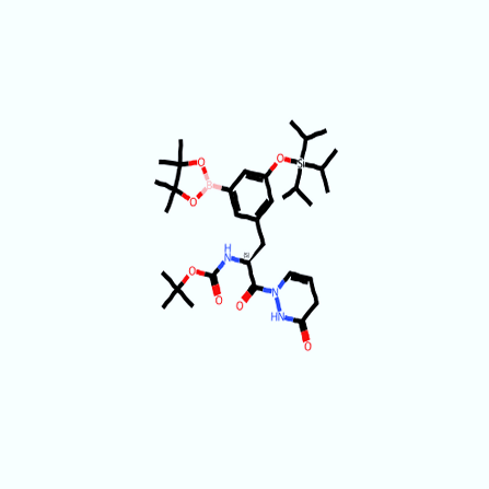 CC(C)[Si](Oc1cc(C[C@H](NC(=O)OC(C)(C)C)C(=O)N2C=CCC(=O)N2)cc(B2OC(C)(C)C(C)(C)O2)c1)(C(C)C)C(C)C